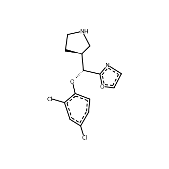 Clc1ccc(O[C@@H](c2ncco2)[C@H]2CCNC2)c(Cl)c1